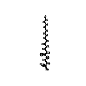 CCCCCCCCCCCCCCC(=O)OCCN(C)C